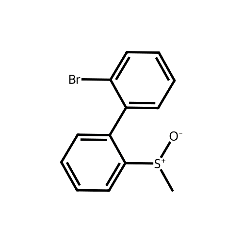 C[S+]([O-])c1ccccc1-c1ccccc1Br